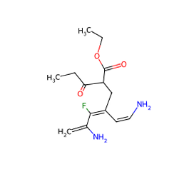 C=C(N)/C(F)=C(\C=C/N)CC(C(=O)CC)C(=O)OCC